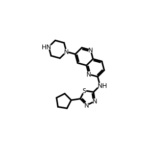 c1nc2ccc(Nc3nnc(C4CCCC4)s3)nc2cc1N1CCNCC1